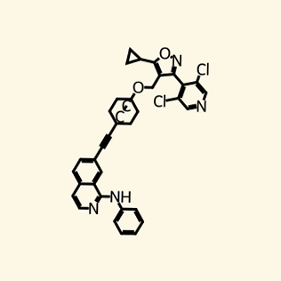 Clc1cncc(Cl)c1-c1noc(C2CC2)c1COC12CCC(C#Cc3ccc4ccnc(Nc5ccccc5)c4c3)(CC1)CC2